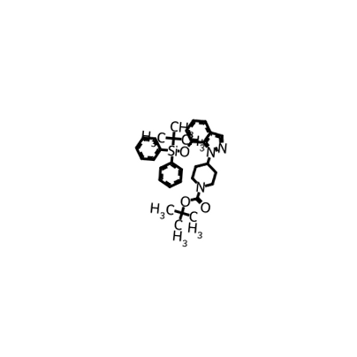 CC(C)(C)OC(=O)N1CCC(n2ncc3cccc(O[Si](c4ccccc4)(c4ccccc4)C(C)(C)C)c32)CC1